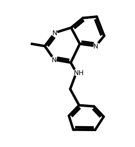 Cc1nc(NCc2ccccc2)c2ncccc2n1